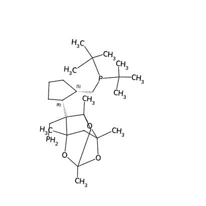 CC12CC3(C)OC(C)(CC(C)(O1)C3(CP)[C@@H]1CCC[C@@H]1CP(C(C)(C)C)C(C)(C)C)O2